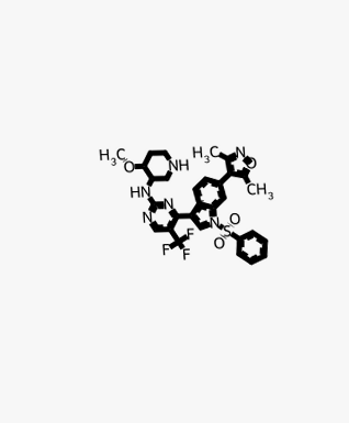 COC1CCNCC1Nc1ncc(C(F)(F)F)c(-c2cn(S(=O)(=O)c3ccccc3)c3cc(-c4c(C)noc4C)ccc23)n1